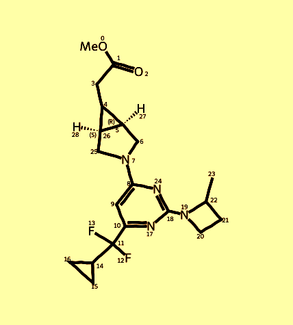 COC(=O)CC1[C@H]2CN(c3cc(C(F)(F)C4CC4)nc(N4CCC4C)n3)C[C@@H]12